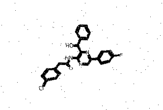 O=C(Cc1ccc(Cl)cc1)Nc1ncc(-c2ccc(F)cc2)nc1C(O)c1ccccc1